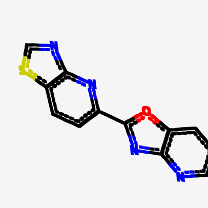 c1cnc2nc(-c3ccc4scnc4n3)oc2c1